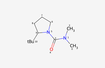 CN(C)C(=O)N1CCCC1C(C)(C)C